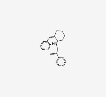 C=C(CNC1CCCC/C1=C/c1ccccc1)c1ccccc1